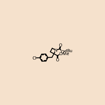 COC(=O)C1(Cc2ccc(Cl)cc2)CCN1C(=O)OC(C)(C)C